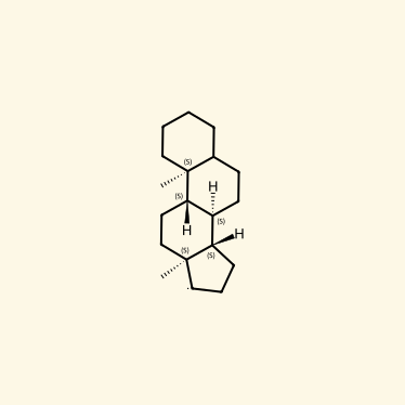 C[C@@]12[CH]CC[C@H]1[C@@H]1CCC3CCCC[C@]3(C)[C@H]1CC2